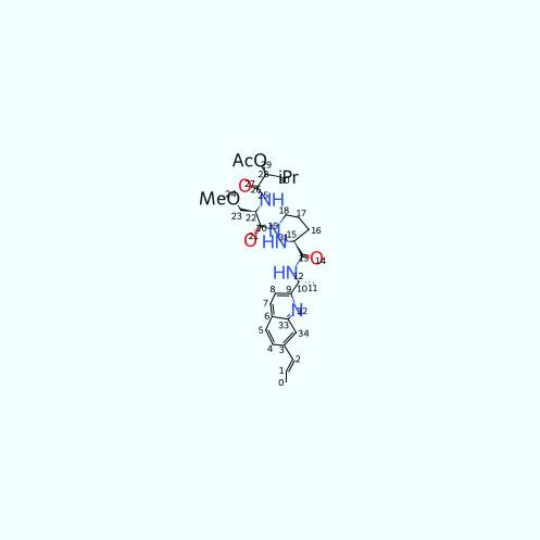 C/C=C/c1ccc2ccc([C@@H](C)NC(=O)[C@@H]3CCCN(C(=O)[C@@H](COC)NC(=O)[C@@H](OC(C)=O)C(C)C)N3)nc2c1